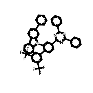 FC(F)(F)c1cc(-c2ccc(-c3nc(-c4ccccc4)nc(-c4ccccc4)n3)cc2-n2c3ccccc3c3ccc(-c4ccccc4)cc32)cc(C(F)(F)F)c1